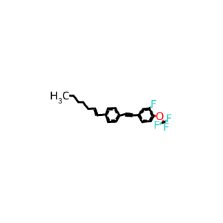 CCCCCC=Cc1ccc(C#Cc2ccc(OC(F)(F)F)c(F)c2)cc1